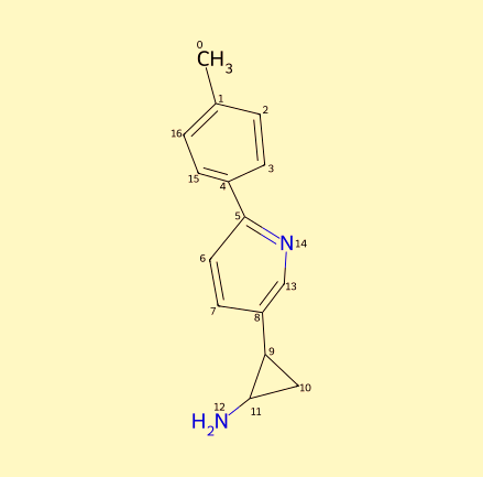 Cc1ccc(-c2ccc(C3CC3N)cn2)cc1